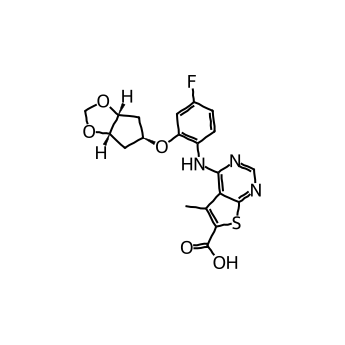 Cc1c(C(=O)O)sc2ncnc(Nc3ccc(F)cc3O[C@H]3C[C@@H]4OCO[C@@H]4C3)c12